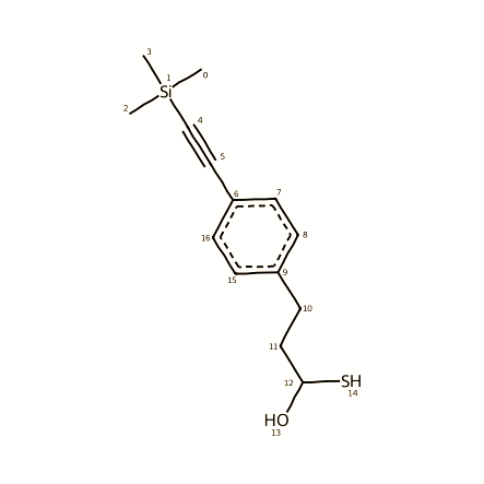 C[Si](C)(C)C#Cc1ccc(CCC(O)S)cc1